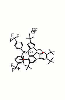 CCCC1C=C(C(C)(C)C)C=[C]1[Zr+2](=[C](c1ccc(C(F)(F)F)cc1)c1ccc(C(F)(F)F)cc1)[c]1c2c(cc(C(C)(C)C)c1C(C)(C)C)-c1cc(C(C)(C)C)c(C(C)(C)C)cc1C2.[Cl-].[Cl-]